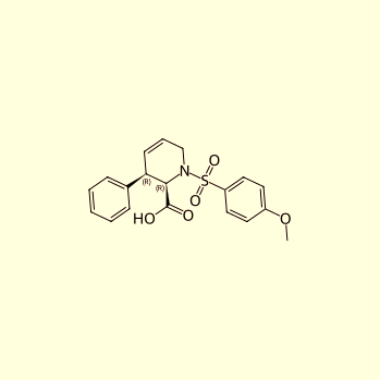 COc1ccc(S(=O)(=O)N2CC=C[C@H](c3ccccc3)[C@@H]2C(=O)O)cc1